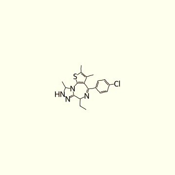 CCC1N=C(c2ccc(Cl)cc2)c2c(sc(C)c2C)N2C1=NNC2C